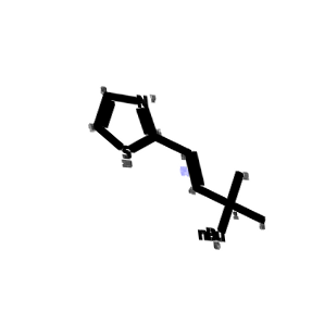 CCCCC(C)(C)/C=C/c1nccs1